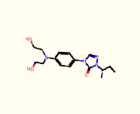 CC[C@@H](C)n1ncn(-c2ccc(N(CCO)CCO)cc2)c1=O